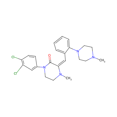 CN1CCN(c2ccccc2C=C2C(=O)N(c3ccc(Cl)c(Cl)c3)CCN2C)CC1